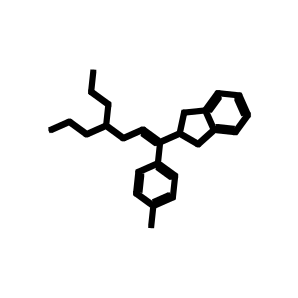 CCCC(CC=C(c1ccc(C)cc1)C1Cc2ccccc2C1)CCC